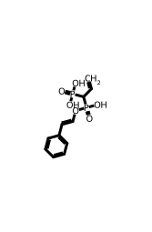 C=CC(P(=O)(O)O)P(=O)(O)OC=Cc1ccccc1